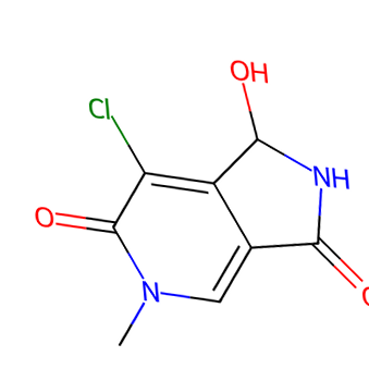 Cn1cc2c(c(Cl)c1=O)C(O)NC2=O